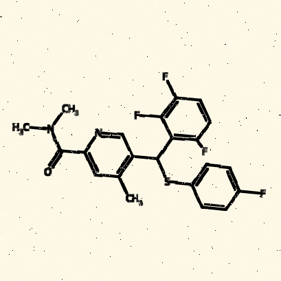 Cc1cc(C(=O)N(C)C)ncc1C(Sc1ccc(F)cc1)c1c(F)ccc(F)c1F